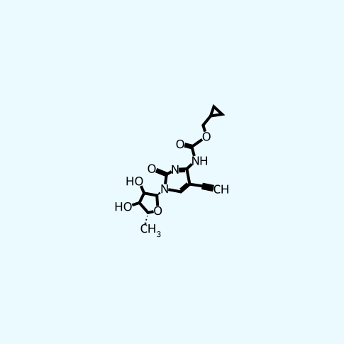 C#Cc1cn([C@@H]2O[C@H](C)C(O)C2O)c(=O)nc1NC(=O)OCC1CC1